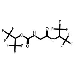 O=C(CNC(=O)OC(C(F)(F)F)C(F)(F)F)OC(C(F)(F)F)C(F)(F)F